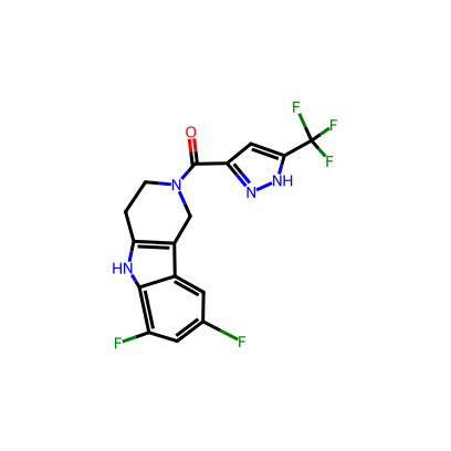 O=C(c1cc(C(F)(F)F)[nH]n1)N1CCc2[nH]c3c(F)cc(F)cc3c2C1